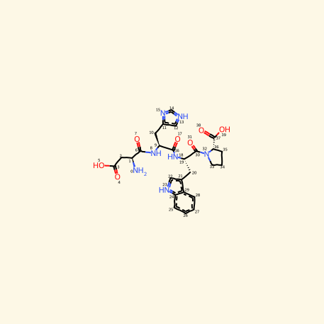 N[C@@H](CC(=O)O)C(=O)N[C@@H](Cc1c[nH]cn1)C(=O)N[C@@H](Cc1c[nH]c2ccccc12)C(=O)N1CCC[C@H]1C(=O)O